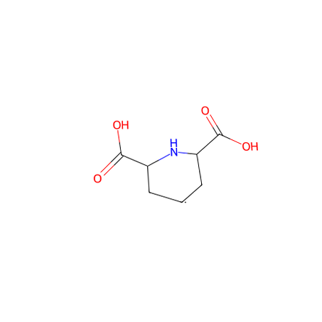 O=C(O)C1C[CH]CC(C(=O)O)N1